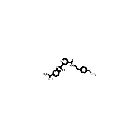 COc1ccc(CCNC(=O)c2ccnc(-c3nc4cc(C(=N)N)ccc4[nH]3)c2)cc1